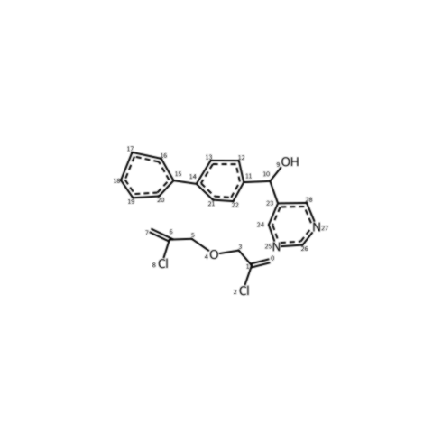 C=C(Cl)COCC(=C)Cl.OC(c1ccc(-c2ccccc2)cc1)c1cncnc1